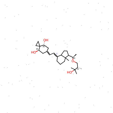 C[C@@H](OC[C@H](C)C(C)(C)O)C1CCC2/C(=C/C=C3C[C@@H](O)C4(CC4)[C@H](O)C3)CCCC21C